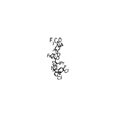 CC(C)C1=C(C(=O)N2C[C@H](F)C[C@@H]2C(=O)N2CC3(CC3)N(C(=O)C(F)(F)F)C[C@@H]2C)SC2=N[C@@](C)(c3ccc(Cl)nc3)[C@@H](c3ccc(Cl)c(F)c3)N21